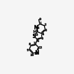 CC1CC=c2cc(-c3cccnc3)sc2=N1